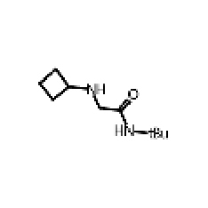 CC(C)(C)NC(=O)CNC1CCC1